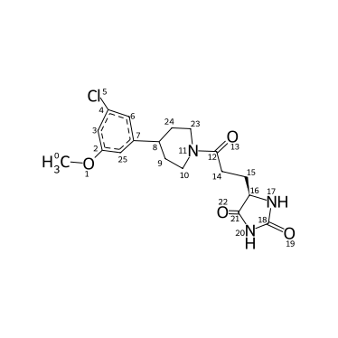 COc1cc(Cl)cc(C2CCN(C(=O)CC[C@H]3NC(=O)NC3=O)CC2)c1